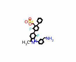 Cc1nn(-c2cccc(CN)c2)c2c(F)c(-c3ccc(-c4ccccc4)c(CO[SH](=O)=O)c3F)ccc12